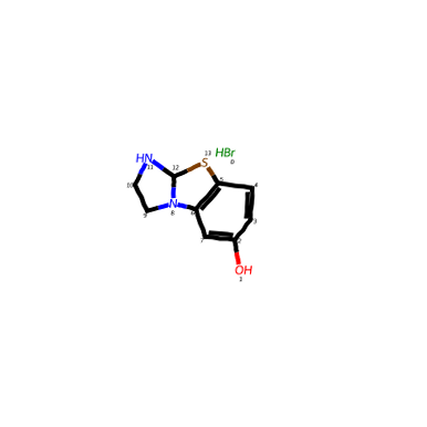 Br.Oc1ccc2c(c1)N1CCNC1S2